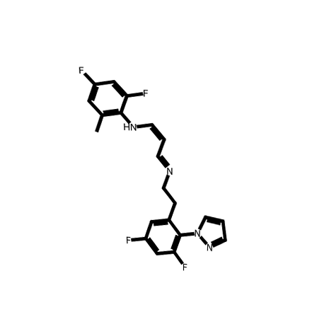 Cc1cc(F)cc(F)c1N/C=C\C=N\CCc1cc(F)cc(F)c1-n1cccn1